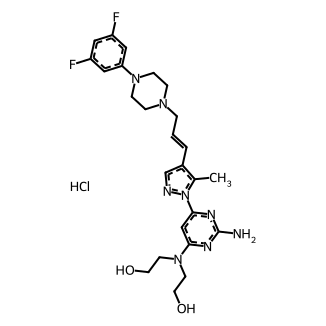 Cc1c(/C=C/CN2CCN(c3cc(F)cc(F)c3)CC2)cnn1-c1cc(N(CCO)CCO)nc(N)n1.Cl